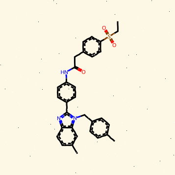 CCS(=O)(=O)c1ccc(CC(=O)Nc2ccc(-c3nc4ccc(C)cc4n3Cc3ccc(C)cc3)cc2)cc1